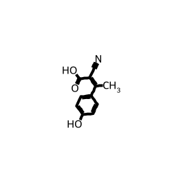 CC(=C(C#N)C(=O)O)c1ccc(O)cc1